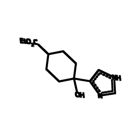 CCOC(=O)C1CCC(O)(c2c[nH]cn2)CC1